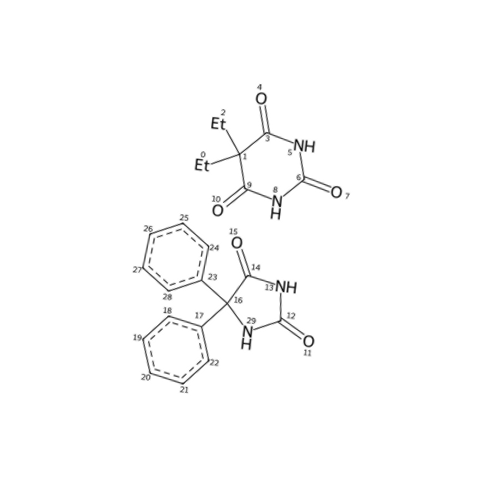 CCC1(CC)C(=O)NC(=O)NC1=O.O=C1NC(=O)C(c2ccccc2)(c2ccccc2)N1